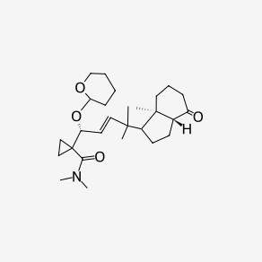 CN(C)C(=O)C1([C@@H](/C=C/C(C)(C)C2CC[C@H]3C(=O)CCC[C@]23C)OC2CCCCO2)CC1